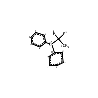 FC(F)(F)[C](F)(F)[Bi]([c]1ccccc1)[c]1ccccc1